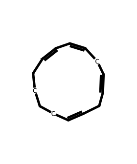 [C]1=CC=CCC=CCC=CCCCC1